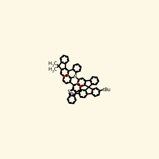 CC(C)(C)c1ccc2c(c1)C1(c3ccccc3-c3cc(N(c4ccccc4-c4cccc5c4-c4ccccc4C5(C)C)c4ccccc4-c4cccc5c4sc4ccccc45)ccc31)c1cc(C(C)(C)C)ccc1-2